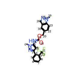 Cn1nc(-c2ccccc2C(F)(F)F)cc1NC(=O)OCc1ccc2c(cnn2C)c1